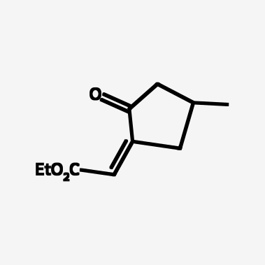 CCOC(=O)C=C1CC(C)CC1=O